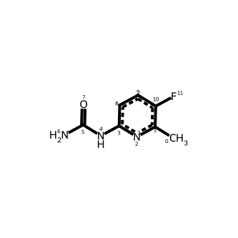 Cc1nc(NC(N)=O)ccc1F